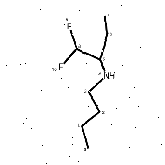 CCCCNC(CC)C(F)F